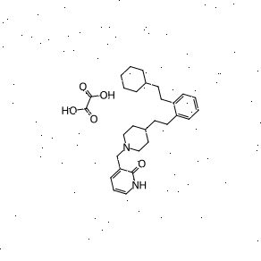 O=C(O)C(=O)O.O=c1[nH]cccc1CN1CCC(CCc2ccccc2CCC2CCCCC2)CC1